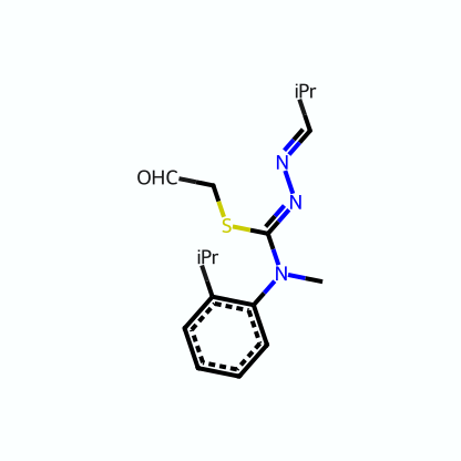 CC(C)/C=N/N=C(\SCC=O)N(C)c1ccccc1C(C)C